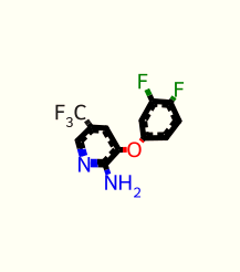 Nc1ncc(C(F)(F)F)cc1Oc1ccc(F)c(F)c1